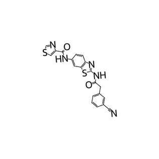 N#Cc1cccc(CC(=O)Nc2nc3ccc(NC(=O)c4cscn4)cc3s2)c1